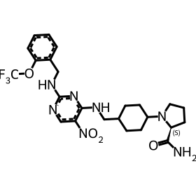 NC(=O)[C@@H]1CCCN1C1CCC(CNc2nc(NCc3ccccc3OC(F)(F)F)ncc2[N+](=O)[O-])CC1